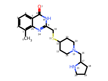 Cc1cccc2c(=O)[nH]c(CSC3CCN(CC4CCCN4)CC3)nc12